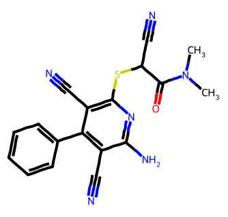 CN(C)C(=O)C(C#N)Sc1nc(N)c(C#N)c(-c2ccccc2)c1C#N